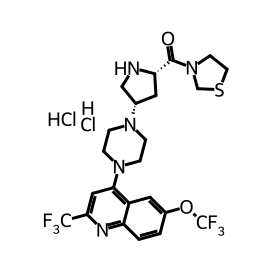 Cl.Cl.O=C([C@@H]1C[C@H](N2CCN(c3cc(C(F)(F)F)nc4ccc(OC(F)(F)F)cc34)CC2)CN1)N1CCSC1